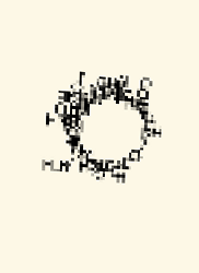 COc1ccc(C[C@@H]2NC(=O)[C@@H](Cc3cnc[nH]3)NC(=O)[C@H](CC(=O)O)NC(=O)[C@H](Cc3c[nH]c4ccc(F)cc34)NC(=O)[C@H](Cc3c[nH]c4ccc(F)cc34)NC(=O)[C@@H](C)NC(=O)[C@H](CCCCN)CC(=O)[C@@H](NC(C)=O)CCC(=O)NCc3ccc(cc3)CCNC(=O)[C@]3(C)CCCN3C2=O)cc1